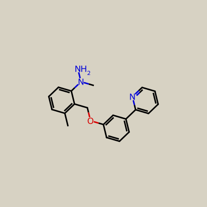 Cc1cccc(N(C)N)c1COc1cccc(-c2ccccn2)c1